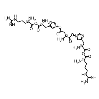 N=C(N)NCCC[C@H](N)C(=O)OC(=O)[C@@H](N)Cc1cn(OC(=O)C[C@H](N)C(=O)On2cnc(C[C@H](N)C(=O)OC(=O)[C@@H](N)CCCNC(=N)N)c2)cn1